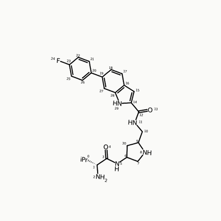 CC(C)[C@@H](N)C(=O)NC1CNC(CNC(=O)c2cc3ccc(-c4ccc(F)cc4)cc3[nH]2)C1